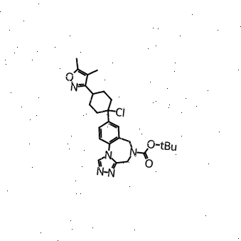 Cc1onc(C2CCC(Cl)(c3ccc4c(c3)CN(C(=O)OC(C)(C)C)Cc3nncn3-4)CC2)c1C